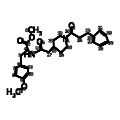 COC(=O)C(Cc1ccc(OC)cc1)NC(=O)CC1CCN(C(=O)CCc2ccccc2)CC1